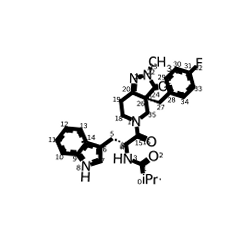 C[C](C)C(=O)N[C@H](Cc1c[nH]c2ccccc12)C(=O)N1CCC2=NN(C)C(=O)[C@]2(Cc2ccc(F)cc2)C1